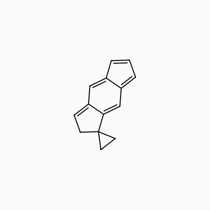 C1=Cc2cc3c(cc2=C1)C1(CC=3)CC1